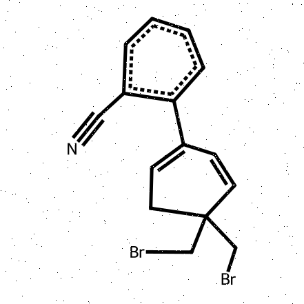 N#Cc1ccccc1C1=CCC(CBr)(CBr)C=C1